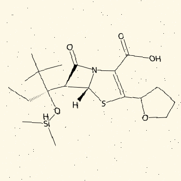 CC[C@@](O[SiH](C)C)([C@H]1C(=O)N2C(C(=O)O)=C(C3CCCO3)S[C@H]12)C(C)(C)C